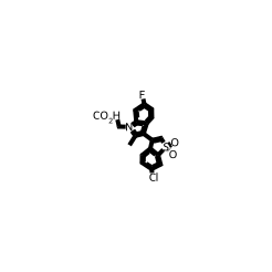 Cc1c(C2=CS(=O)(=O)c3cc(Cl)ccc32)c2ccc(F)cc2n1CC(=O)O